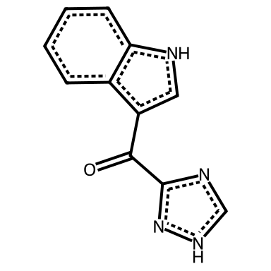 O=C(c1nc[nH]n1)c1c[nH]c2ccccc12